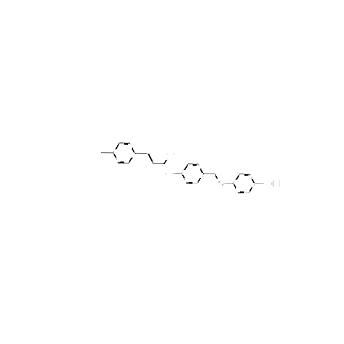 O=C(/C=C/c1ccc(Cl)cc1)Oc1ccc(/C=N/c2ccc(O)cc2)cc1